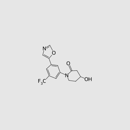 O=C1CC(O)CCN1c1cc(-c2cnco2)cc(C(F)(F)F)c1